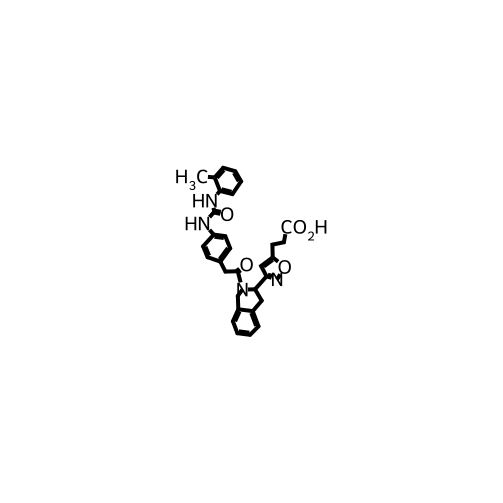 Cc1ccccc1NC(=O)Nc1ccc(CC(=O)N2Cc3ccccc3CC2c2cc(CCC(=O)O)on2)cc1